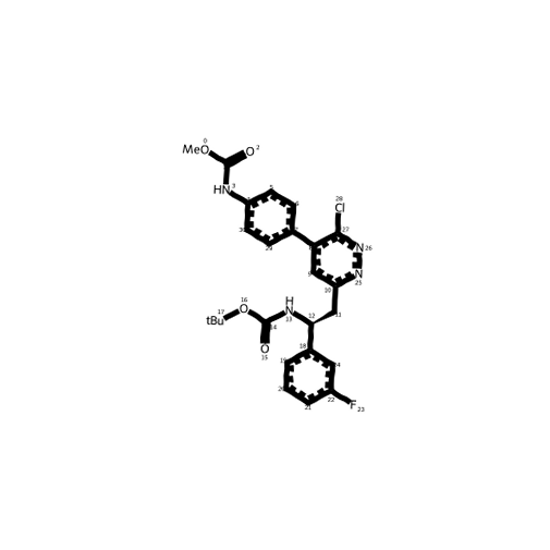 COC(=O)Nc1ccc(-c2cc(C[C@H](NC(=O)OC(C)(C)C)c3cccc(F)c3)nnc2Cl)cc1